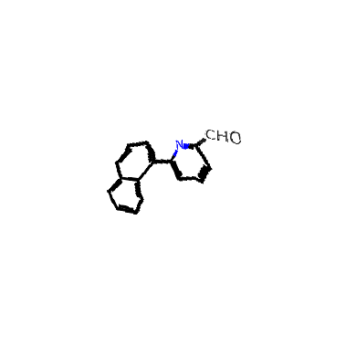 O=Cc1cccc(-c2cccc3ccccc23)n1